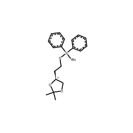 CC1(C)OC[C@H](CCO[Si](c2ccccc2)(c2ccccc2)C(C)(C)C)O1